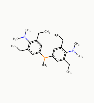 BP(c1cc(CC)c(N(C)C)c(CC)c1)c1cc(CC)c(N(C)C)c(CC)c1